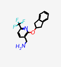 NCc1ccc(C(F)(F)F)nc1OC1Cc2ccccc2C1